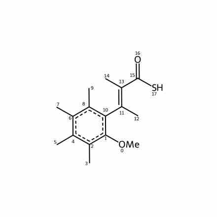 COc1c(C)c(C)c(C)c(C)c1/C(C)=C(\C)C(=O)S